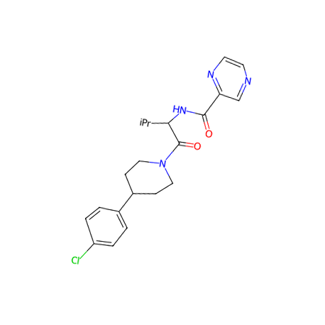 CC(C)C(NC(=O)c1cnccn1)C(=O)N1CCC(c2ccc(Cl)cc2)CC1